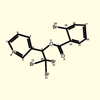 O=C(OC(c1cccnc1)C(Br)(Br)Br)c1ccccc1Br